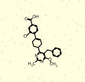 COc1nc(C)nc(C2CC=C(c3ccc(C(=O)O)cc3Cl)CC2)c1Cc1ccccc1